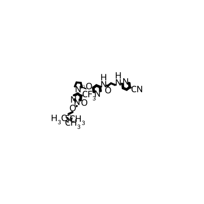 C[Si](C)(C)CCOCn1ncc(N2CCC[C@H]2COc2cncc(NC(=O)CCNc3ccc(C#N)cn3)c2)c(C(F)(F)F)c1=O